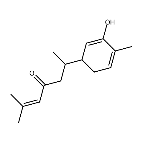 CC(C)=CC(=O)CC(C)C1C=C(O)C(C)=CC1